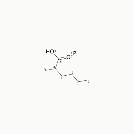 CCCCC(C)C(=O)O.[P]